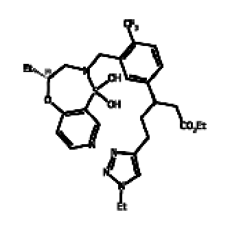 CCOC(=O)CC(CCc1cn(CC)nn1)c1ccc(C(F)(F)F)c(CN2C[C@@H](CC)Oc3ccncc3S2(O)O)c1